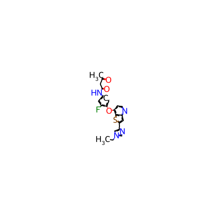 CCn1cnc(-c2cc3nccc(Oc4ccc(NC(=O)CC(C)=O)cc4F)c3s2)c1